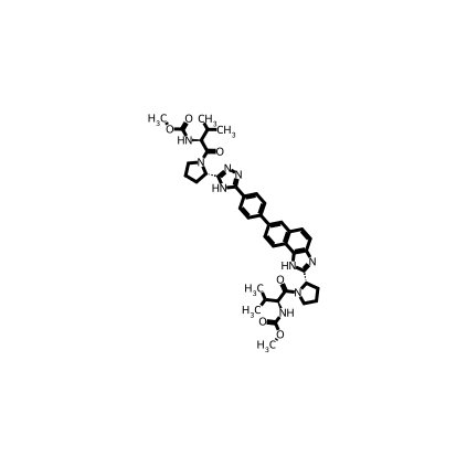 COC(=O)N[C@H](C(=O)N1CCC[C@H]1c1nnc(-c2ccc(-c3ccc4c(ccc5nc([C@@H]6CCCN6C(=O)[C@@H](NC(=O)OC)C(C)C)[nH]c54)c3)cc2)[nH]1)C(C)C